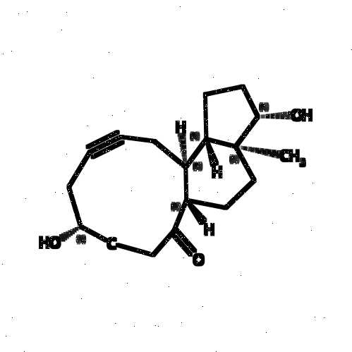 C[C@]12CC[C@@H]3C(=O)CC[C@H](O)CC#CC[C@H]3[C@@H]1CC[C@@H]2O